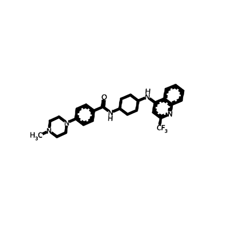 CN1CCN(c2ccc(C(=O)NC3CCC(Nc4cc(C(F)(F)F)nc5ccccc45)CC3)cc2)CC1